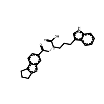 O=C(C[C@@H](CCCc1c[nH]c2ccccc12)C(=O)O)c1ccc2c3c(oc2c1)CCC3